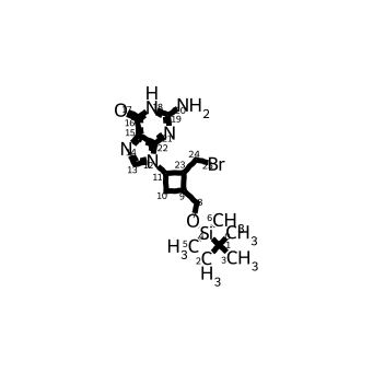 CC(C)(C)[Si](C)(C)OCC1CC(n2cnc3c(=O)[nH]c(N)nc32)C1CBr